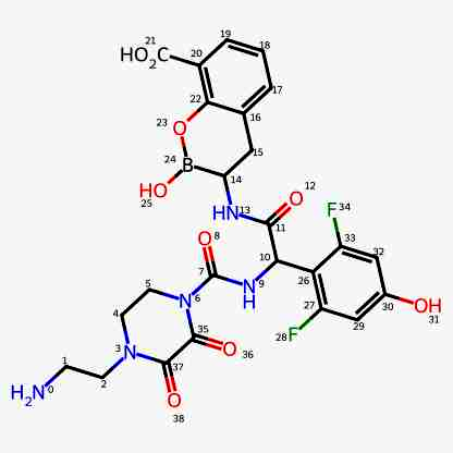 NCCN1CCN(C(=O)NC(C(=O)NC2Cc3cccc(C(=O)O)c3OB2O)c2c(F)cc(O)cc2F)C(=O)C1=O